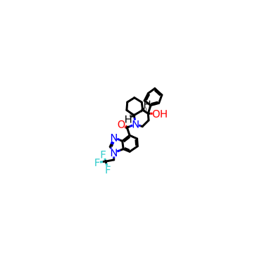 O=C(c1cccc2c1ncn2CC(F)(F)F)N1CCC(O)(c2ccccc2)[C@H]2CCCC[C@H]21